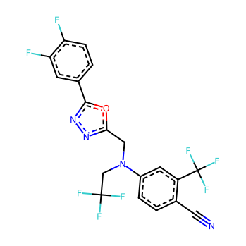 N#Cc1ccc(N(Cc2nnc(-c3ccc(F)c(F)c3)o2)CC(F)(F)F)cc1C(F)(F)F